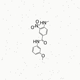 CNc1ccc(C(=O)Nc2cccc(OC)c2)cc1[N+](=O)[O-]